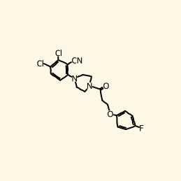 N#Cc1c(N2CCN(C(=O)CCOc3ccc(F)cc3)CC2)ccc(Cl)c1Cl